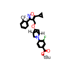 CC(C)(C)OC(=O)c1ccc(N2C[C@@H]3C[C@H]2C[C@H]3OCc2c(-c3ccccc3C(F)(F)F)noc2C2CC2)c(F)c1